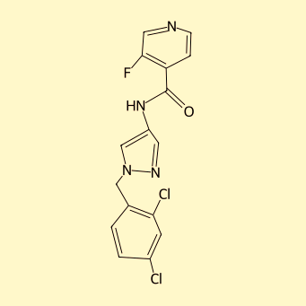 O=C(Nc1cnn(Cc2ccc(Cl)cc2Cl)c1)c1ccncc1F